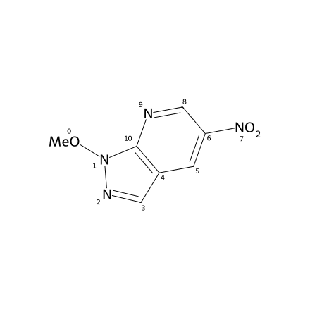 COn1ncc2cc([N+](=O)[O-])cnc21